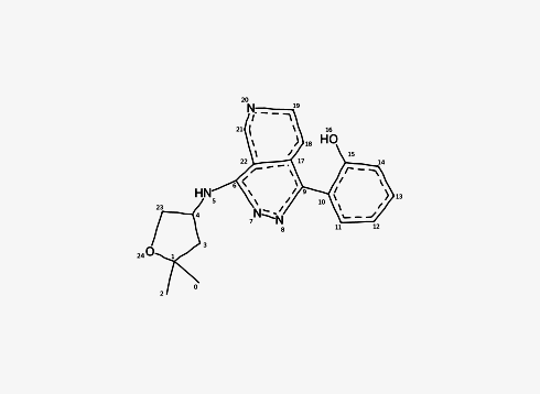 CC1(C)CC(Nc2nnc(-c3ccccc3O)c3ccncc23)CO1